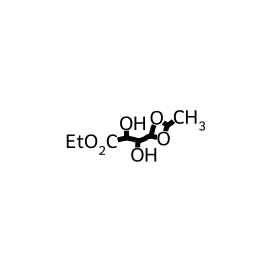 CCOC(=O)C(O)C(O)C1OC(C)O1